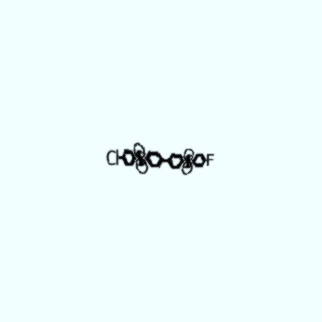 O=S(=O)(c1ccc(F)cc1)c1ccc(-c2ccc(S(=O)(=O)c3ccc(Cl)cc3)cc2)cc1